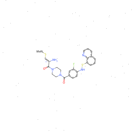 CNS/C=C(\N)C(=O)N1CCN(C(=O)c2ccc(NSc3cccc4cccnc34)c(F)c2)CC1